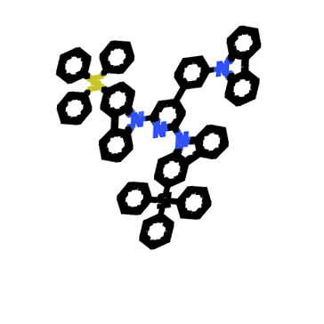 c1ccc([Si](c2ccccc2)(c2ccccc2)c2ccc3c(c2)c2ccccc2n3-c2cc(-c3cccc(-n4c5ccccc5c5ccccc54)c3)cc(-n3c4ccccc4c4cc(S(c5ccccc5)(c5ccccc5)c5ccccc5)ccc43)n2)cc1